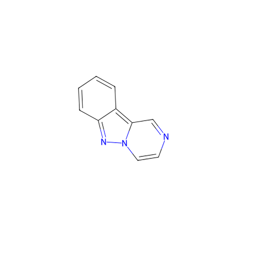 c1ccc2c(c1)nn1ccncc21